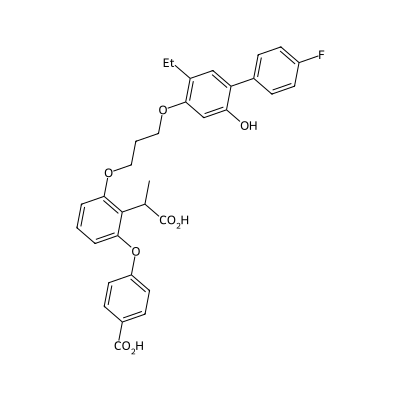 CCc1cc(-c2ccc(F)cc2)c(O)cc1OCCCOc1cccc(Oc2ccc(C(=O)O)cc2)c1C(C)C(=O)O